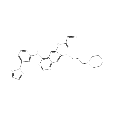 C=CC(=O)Nc1cc2c(Nc3cccc(-n4nccn4)c3)ncnc2cc1OCCCN1CCOCC1